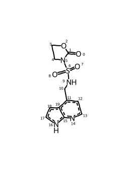 O=C1OCCN1S(=O)(=O)NCc1ccnc2[nH]ccc12